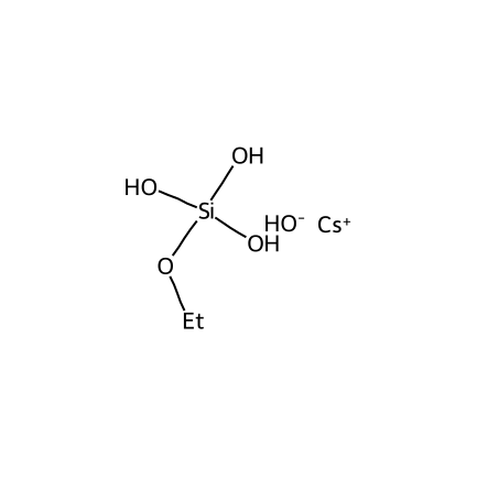 CCO[Si](O)(O)O.[Cs+].[OH-]